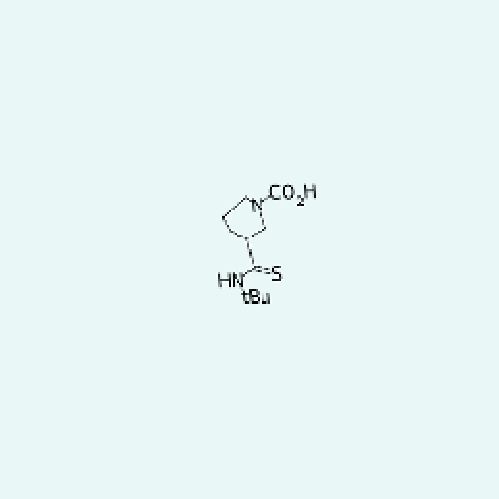 CC(C)(C)NC(=S)C1CCCN(C(=O)O)C1